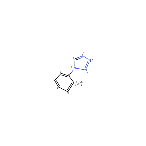 [SeH2].c1ccc(-n2cnnn2)cc1